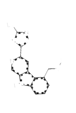 CCOCc1cccc2[nH]c3cnc(-c4nc(CC)no4)cc3c12